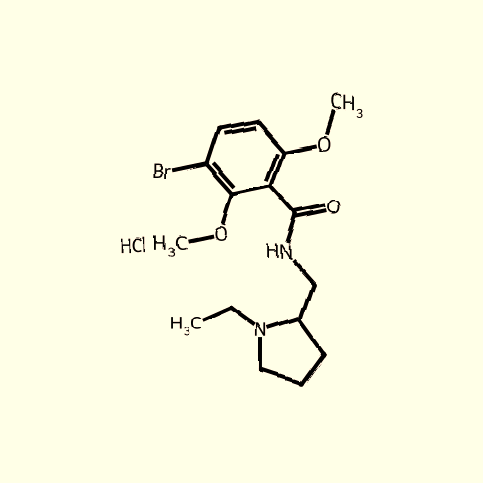 CCN1CCCC1CNC(=O)c1c(OC)ccc(Br)c1OC.Cl